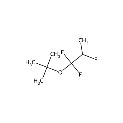 CC(F)C(F)(F)OC(C)(C)C